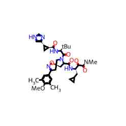 CNC(=O)C(=O)[C@H](CC1CC1)NC(=O)C1C[C@]2(CC(c3cc(C)c(OC)c(C)c3)=NO2)CN1C(=O)[C@@H](NC(=O)[C@H]1C[C@@H]1c1c[nH]cn1)C(C)(C)C